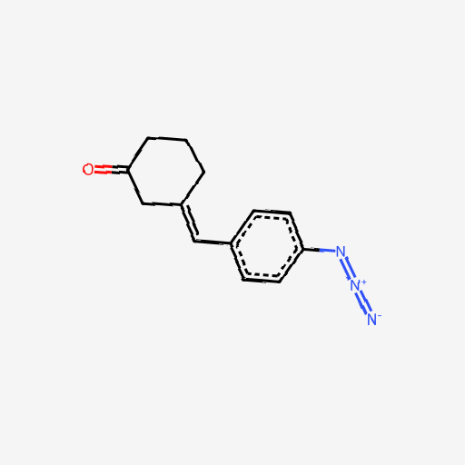 [N-]=[N+]=Nc1ccc(C=C2CCCC(=O)C2)cc1